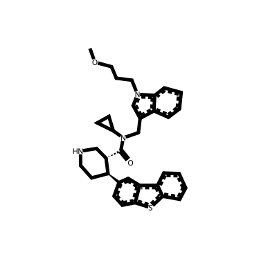 COCCCn1cc(CN(C(=O)[C@H]2CNCC[C@@H]2c2ccc3sc4ccccc4c3c2)C2CC2)c2ccccc21